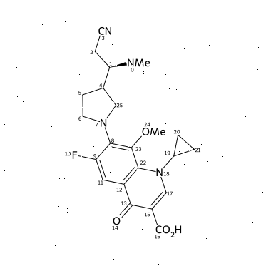 CN[C@H](CC#N)C1CCN(c2c(F)cc3c(=O)c(C(=O)O)cn(C4CC4)c3c2OC)C1